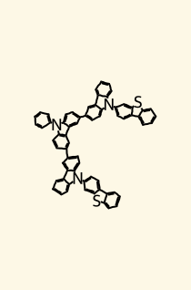 c1ccc(-n2c3ccc(-c4ccc5c(c4)c4ccccc4n5-c4ccc5c(c4)sc4ccccc45)cc3c3cc(-c4ccc5c(c4)c4ccccc4n5-c4ccc5c(c4)sc4ccccc45)ccc32)cc1